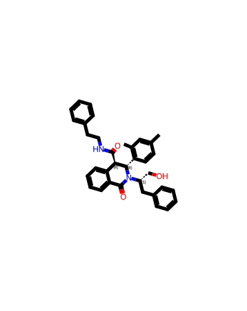 Cc1ccc([C@H]2[C@H](C(=O)NCCc3ccccc3)c3ccccc3C(=O)N2[C@H](CO)Cc2ccccc2)c(C)c1